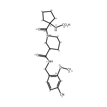 N#Cc1ccc(CNC(=O)C2CCCN(C(=O)C3(NC(=O)O)CCCC3)C2)c(OC(F)(F)F)c1